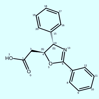 O=C(O)C[C@@H]1OC(c2ccccc2)=N[C@H]1c1ccccc1